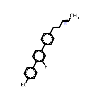 C/C=C/CCc1ccc(-c2ccc(-c3ccc(CC)cc3)c(F)c2)cc1